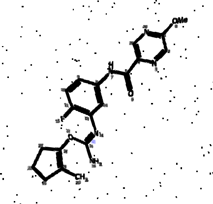 COc1cnc(C(=O)Nc2ccc(F)c(/N=C(/N)OC3=C(C)CCC3)c2)cn1